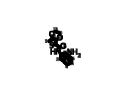 NC12CC3CC(C1)CC(NC(=O)c1scc4c1OCCO4)(C3)C2